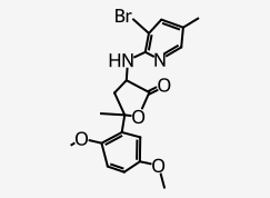 COc1ccc(OC)c(C2(C)CC(Nc3ncc(C)cc3Br)C(=O)O2)c1